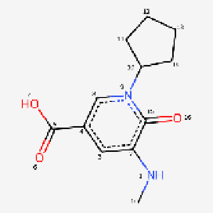 CNc1cc(C(=O)O)cn(C2CCCC2)c1=O